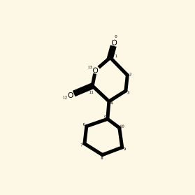 O=C1CCC(C2CCCCC2)C(=O)O1